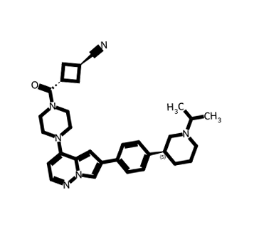 CC(C)N1CCC[C@@H](c2ccc(-c3cc4c(N5CCN(C(=O)[C@H]6C[C@H](C#N)C6)CC5)ccnn4c3)cc2)C1